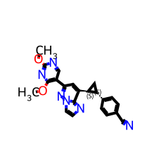 COc1ncc(-c2cc([C@H]3C[C@@H]3c3ccc(C#N)cc3)c3nccn3n2)c(OC)n1